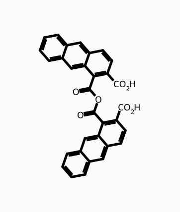 O=C(O)c1ccc2cc3ccccc3cc2c1C(=O)OC(=O)c1c(C(=O)O)ccc2cc3ccccc3cc12